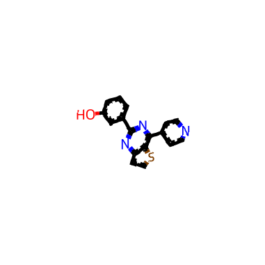 Oc1cccc(-c2nc(-c3ccncc3)c3sccc3n2)c1